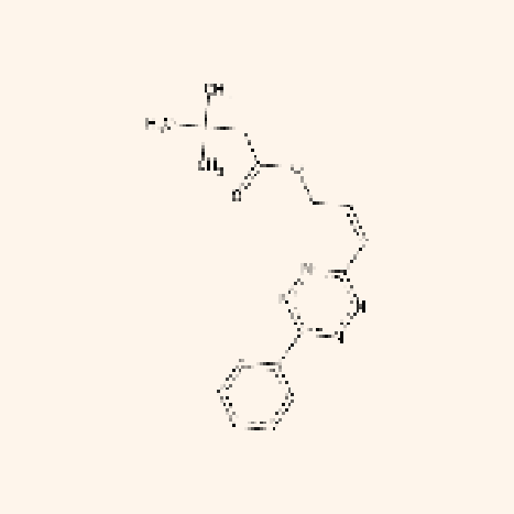 CC(C)(C)CC(=O)OC/C=C\c1nnc(-c2ccccc2)nn1